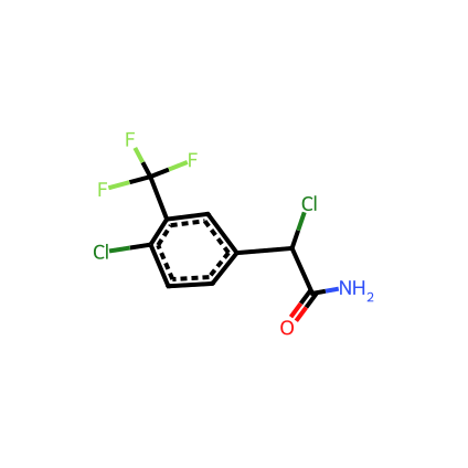 NC(=O)C(Cl)c1ccc(Cl)c(C(F)(F)F)c1